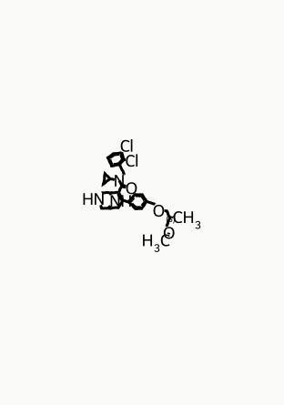 COC[C@H](C)COCc1ccc(C2=C(C(=O)N(Cc3cccc(Cl)c3Cl)C3CC3)C3CNCC(C2)N3)cc1